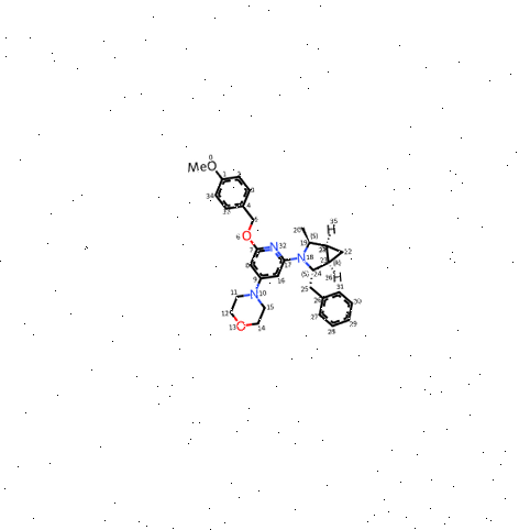 COc1ccc(COc2cc(N3CCOCC3)cc(N3[C@@H](C)[C@H]4C[C@H]4[C@@H]3Cc3ccccc3)n2)cc1